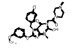 CN1CCN(C(=O)CN2C(=O)c3c(nc(Oc4cccc(OC(F)(F)F)c4)n3Cc3ccc(Cl)cc3)N(C)C2O)CC1